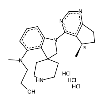 C[C@@H]1CCc2ncnc(N3CC4(CCNCC4)c4c(N(C)CCO)cccc43)c21.Cl.Cl.Cl